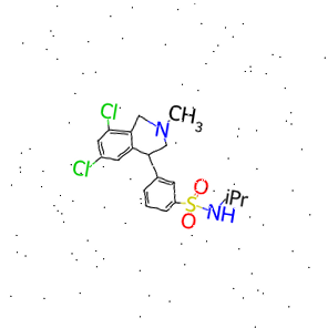 CC(C)NS(=O)(=O)c1cccc(C2CN(C)Cc3c(Cl)cc(Cl)cc32)c1